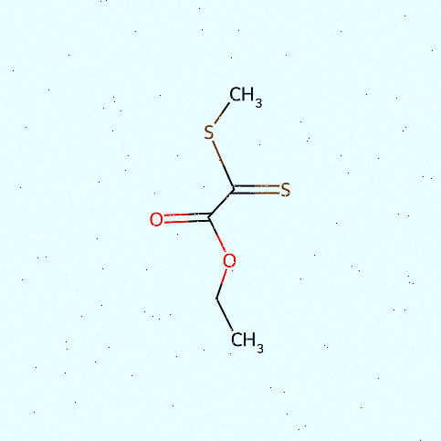 CCOC(=O)C(=S)SC